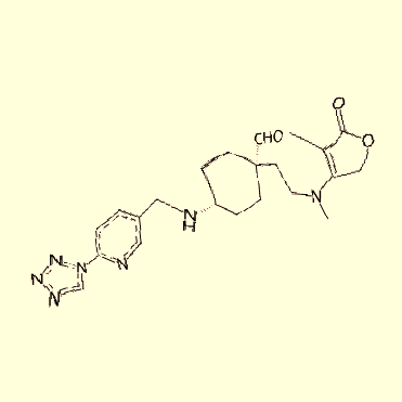 CC1=C(N(C)CC[C@]2(C=O)CC[C@@H](NCc3ccc(-n4cnnn4)nc3)CC2)COC1=O